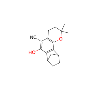 CC1(C)CCc2c(C#N)c(O)c3c(c2O1)C1CCC3C1